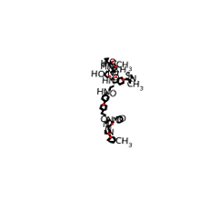 Cc1cccc(-c2ccn(-c3cc(N4CCOCC4)nc(OCCc4ccc(-c5ccc(NC(=O)CC[C@H](NC(=O)[C@@H]6C[C@@H](O)CN6C(=O)[C@@H](NC(=O)C6(F)CC6)C(C)(C)C)c6ccc(-c7scnc7C)cc6)cc5)cc4)n3)n2)c1